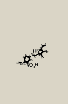 C=Cc1[nH]c(C=Nc2ccc(N=C)c(S(=O)(=O)O)c2)c(C)c1C